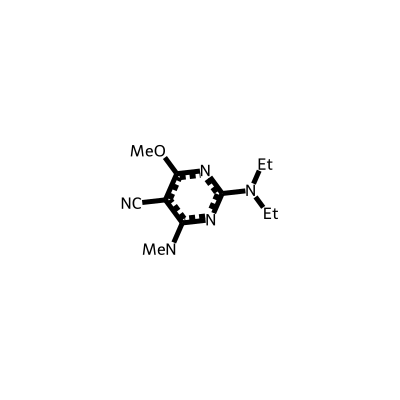 CCN(CC)c1nc(NC)c(C#N)c(OC)n1